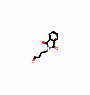 O=[C]CCCN1C(=O)c2ccccc2C1=O